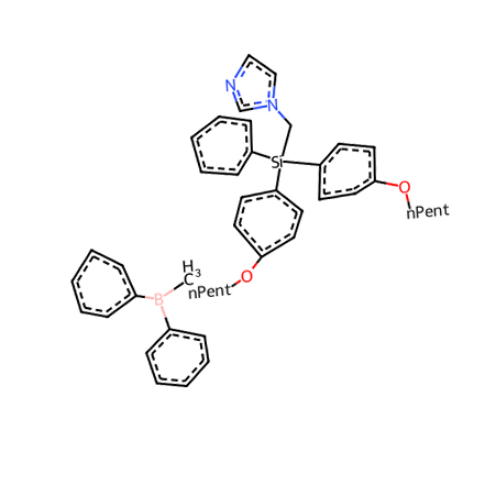 CB(c1ccccc1)c1ccccc1.CCCCCOc1ccc([Si](Cn2ccnc2)(c2ccccc2)c2ccc(OCCCCC)cc2)cc1